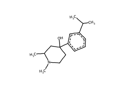 CC(C)c1cccc(C2(O)CCN(C)C(C)C2)c1